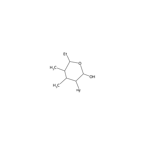 CCC1OC(O)C([18F])C(C)C1C